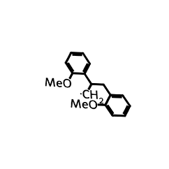 [CH2]C(Cc1ccccc1OC)c1ccccc1OC